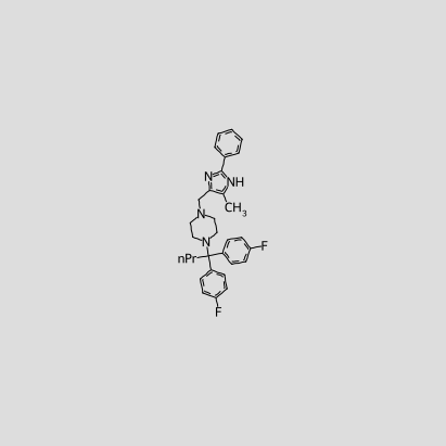 CCCC(c1ccc(F)cc1)(c1ccc(F)cc1)N1CCN(Cc2nc(-c3ccccc3)[nH]c2C)CC1